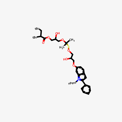 CCCCCn1c(-c2ccccc2)cc2ccc(OCC(O)COSC(C)(C)OCC(O)COC(=O)C(CC(C)(C)C)C(C)(C)C)cc21